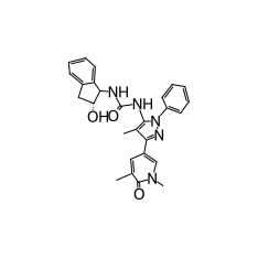 Cc1c(-c2cc(C)c(=O)n(C)c2)nn(-c2ccccc2)c1NC(=O)NC1c2ccccc2C[C@H]1O